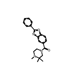 CN1CCN(C(=O)c2ccc3oc(-c4ccccc4)nc3c2)CC1(C)C